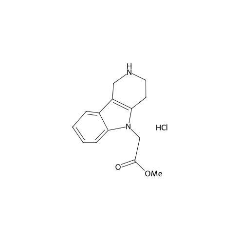 COC(=O)Cn1c2c(c3ccccc31)CNCC2.Cl